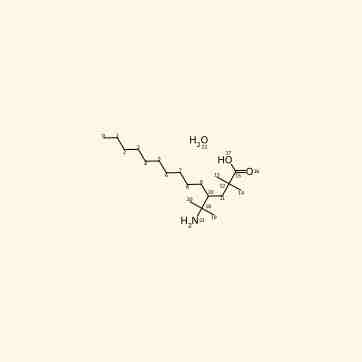 CCCCCCCCCCC(CC(C)(C)C(=O)O)C(C)(C)N.O